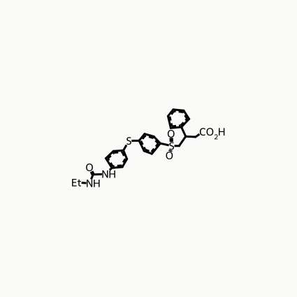 CCNC(=O)Nc1ccc(Sc2ccc(S(=O)(=O)CC(CC(=O)O)c3ccccc3)cc2)cc1